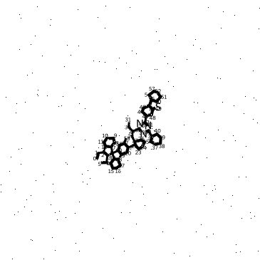 C=CC1=C(C=C)C2(c3ccccc31)c1ccccc1-c1cc(-c3ccccc3CC(CC)c3nc(-c4ccccc4)nc(-c4ccc5c(c4)sc4ccccc45)n3)c(C)cc12